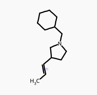 C/C=C/C1CCN(CC2CCCCC2)C1